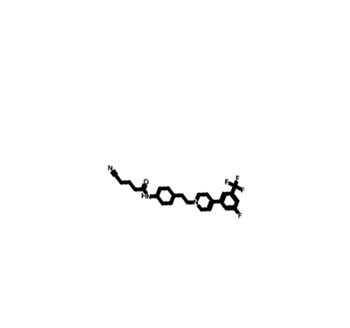 N#CCCCC(=O)NC1CCC(CCN2CC=C(c3cc(F)cc(C(F)(F)F)c3)CC2)CC1